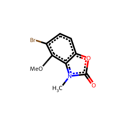 COc1c(Br)ccc2oc(=O)n(C)c12